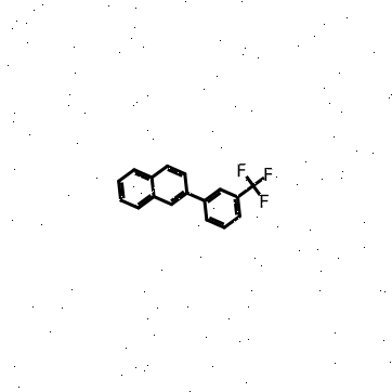 FC(F)(F)c1cccc(-c2ccc3ccccc3c2)c1